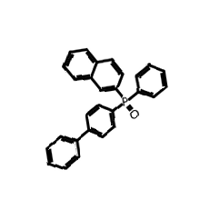 O=P(c1ccccc1)(c1ccc(-c2ccccc2)cc1)c1ccc2ccccc2c1